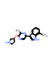 Cc1nc(-c2c[nH]c3c(C(F)(F)F)cccc23)cnc1OC1CCNC1